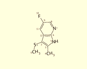 CSc1c(C)[nH]c2ncc(F)cc12